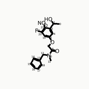 CC(O)c1cc(OCC(=O)N(C)Cc2ccccc2)cc(F)c1[N+](=O)[O-]